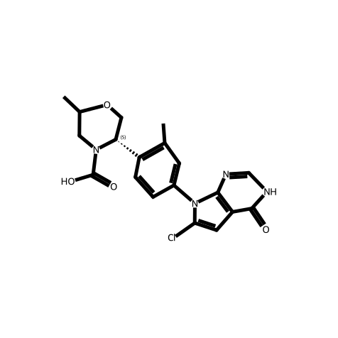 Cc1cc(-n2c(Cl)cc3c(=O)[nH]cnc32)ccc1[C@H]1COC(C)CN1C(=O)O